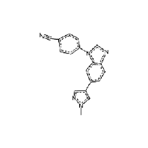 Cn1cc(-c2ccc3ncn(-c4ccc(C#N)cc4)c3c2)cn1